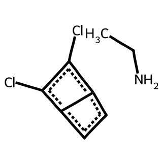 CCN.Clc1c2ccc-2c1Cl